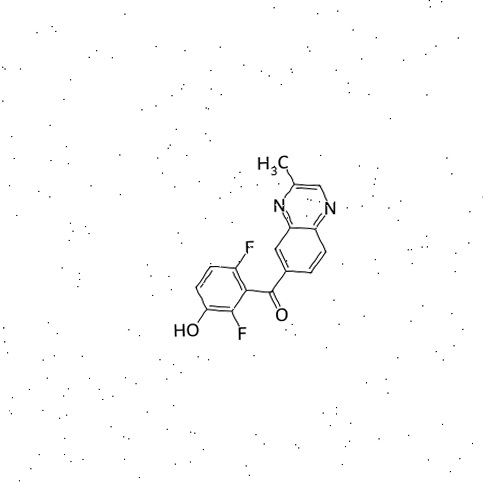 Cc1cnc2ccc(C(=O)c3c(F)ccc(O)c3F)cc2n1